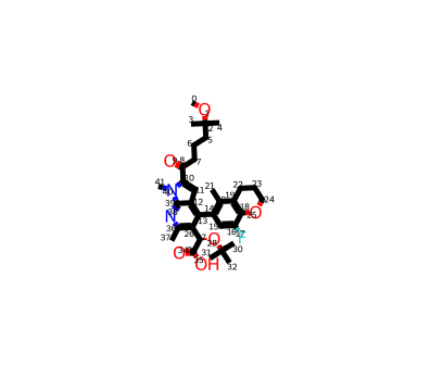 COC(C)(C)CCCC(=O)c1cc2c(-c3cc(F)c4c(c3C)CCCO4)c([C@H](OC(C)(C)C)C(=O)O)c(C)nc2n1C